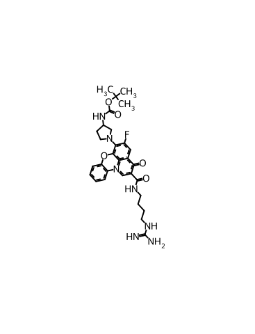 CC(C)(C)OC(=O)NC1CCN(c2c(F)cc3c(=O)c(C(=O)NCCCCNC(=N)N)cn4c3c2Oc2ccccc2-4)C1